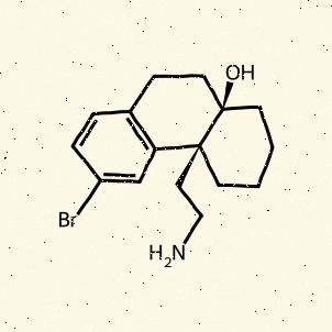 NCC[C@]12CCCC[C@@]1(O)CCc1ccc(Br)cc12